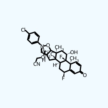 C[C@]12C[C@H](O)[C@@]3(F)[C@@H](C[C@H](F)C4=CC(=O)C=C[C@@]43C)[C@]1(C)C[C@H]1CN(c3ccc(Cl)cc3)O[C@]12C(=O)OCC#N